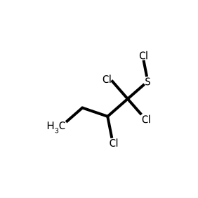 CCC(Cl)C(Cl)(Cl)SCl